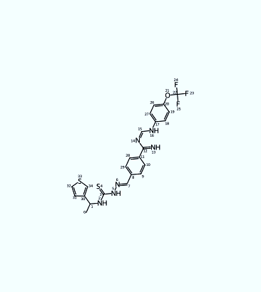 CC(NC(=S)N/N=C/c1ccc(C(=N)/N=C\Nc2ccc(OC(F)(F)F)cc2)cc1)c1ccsc1